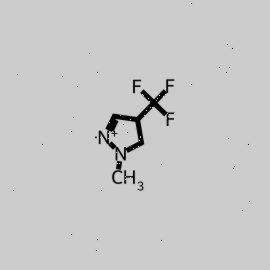 CN1CC(C(F)(F)F)C=[N+]1